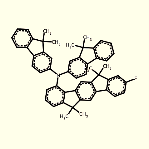 CC1(C)c2ccccc2-c2ccc(N(c3ccc4c(c3)C(C)(C)c3ccccc3-4)c3cccc4c3-c3cc5c(cc3C4(C)C)-c3ccc(F)cc3C5(C)C)cc21